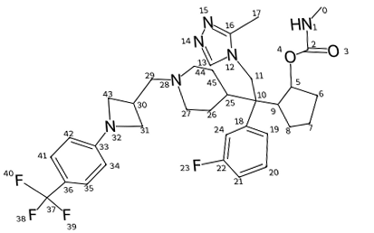 CNC(=O)OC1CCCC1C(Cn1cnnc1C)(c1cccc(F)c1)C1CCN(CC2CN(c3ccc(C(F)(F)F)cc3)C2)CC1